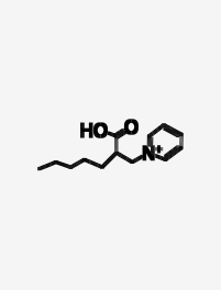 CCCCCC(C[n+]1ccccc1)C(=O)O